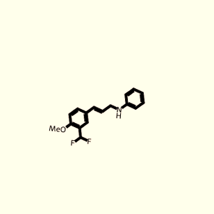 COc1ccc(C=CCNc2ccccc2)cc1C(F)F